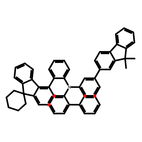 CC1(C)c2ccccc2-c2ccc(-c3cccc(N(c4ccccc4-c4ccccc4)c4ccccc4-c4cccc5c4-c4ccccc4C54CCCCC4)c3)cc21